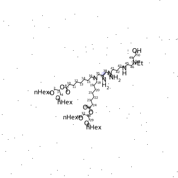 CCCCCCOCC(COCCCCCC)OC(=O)CCCCCCCN(CCCCCCCC(=O)OC(COCCCCCC)COCCCCCC)C/C(N)=C/N(N)CCCNCCN(CC)CCO